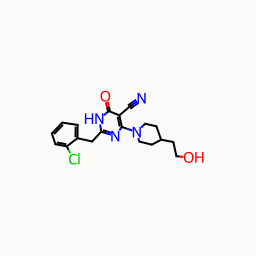 N#Cc1c(N2CCC(CCO)CC2)nc(Cc2ccccc2Cl)[nH]c1=O